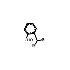 O=[C]c1ccccc1C(Br)Br